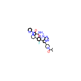 CC(C)C(=O)N1CCC(c2cc(-c3ccc(C4CCCn5c4c(C(N)=O)c(=O)n5-c4ccccn4)cc3F)c3c(N)ncnn23)CC1